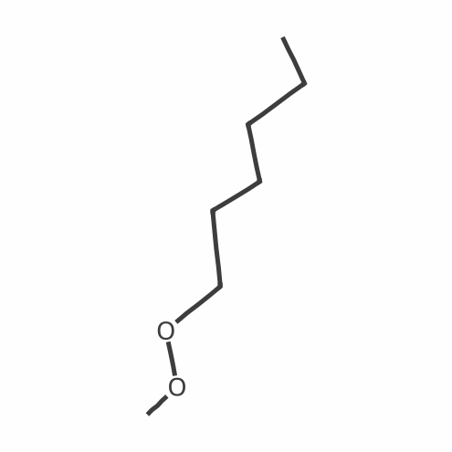 CCCCCCOOC